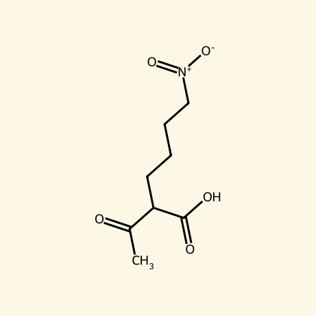 CC(=O)C(CCCC[N+](=O)[O-])C(=O)O